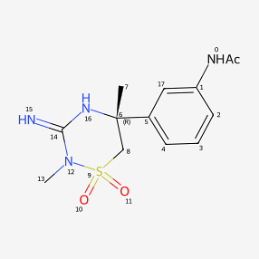 CC(=O)Nc1cccc([C@]2(C)CS(=O)(=O)N(C)C(=N)N2)c1